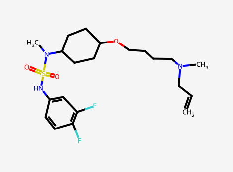 C=CCN(C)CCCCOC1CCC(N(C)S(=O)(=O)Nc2ccc(F)c(F)c2)CC1